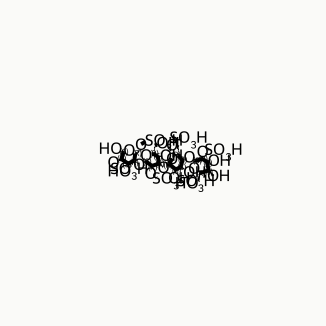 O=S(=O)(O)OC[C@H]1O[C@H](O)[C@H](OS(=O)(=O)O)[C@@H](O)[C@H]1O[C@@H]1O[C@H](CO)[C@H](O)[C@H](O[C@H]2O[C@H](COS(=O)(=O)O)[C@H](O[C@@H]3O[C@H](CO)[C@H](O)[C@H](O)[C@H]3OS(=O)(=O)O)[C@H](O)[C@H]2OS(=O)(=O)O)[C@H]1OS(=O)(=O)O